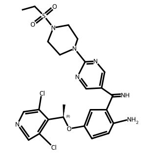 CCS(=O)(=O)N1CCN(c2ncc(C(=N)c3cc(O[C@H](C)c4c(Cl)cncc4Cl)ccc3N)cn2)CC1